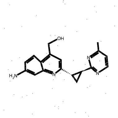 Cc1ccnc([C@H]2C[C@@H]2c2cc(CO)c3ccc(N)cc3n2)n1